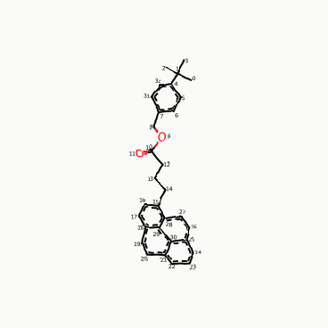 CC(C)(C)c1ccc(COC(=O)CCCc2ccc3ccc4cccc5ccc2c3c45)cc1